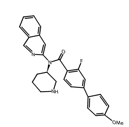 COc1ccc(-c2ccc(C(=O)N(c3cc4ccccc4cn3)[C@@H]3CCCNC3)c(F)c2)cc1